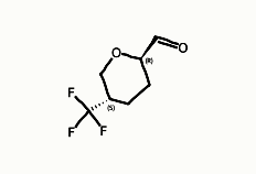 O=C[C@H]1CC[C@H](C(F)(F)F)CO1